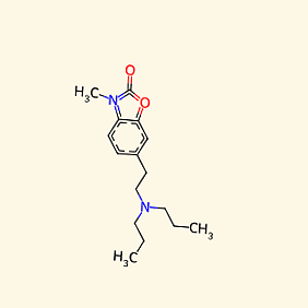 CCCN(CCC)CCc1ccc2c(c1)oc(=O)n2C